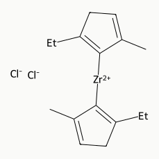 CCC1=[C]([Zr+2][C]2=C(CC)CC=C2C)C(C)=CC1.[Cl-].[Cl-]